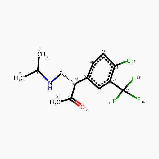 CC(=O)[C@H](CNC(C)C)c1ccc(Cl)c(C(F)(F)F)c1